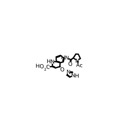 CC(=O)N1CCCC1C(=O)Nc1ccc2[nH]c(C(=O)O)cc(=O)c2c1.c1c[nH]cn1